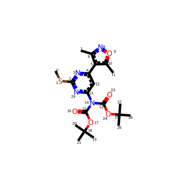 CSc1nc(-c2c(C)noc2C)cc(N(C(=O)OC(C)(C)C)C(=O)OC(C)(C)C)n1